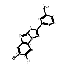 COc1ccnc(-c2cn3c(nc4cc(Cl)c(Cl)cc43)s2)c1